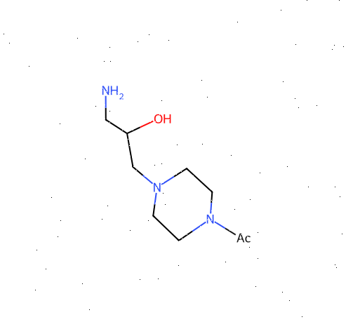 CC(=O)N1CCN(CC(O)CN)CC1